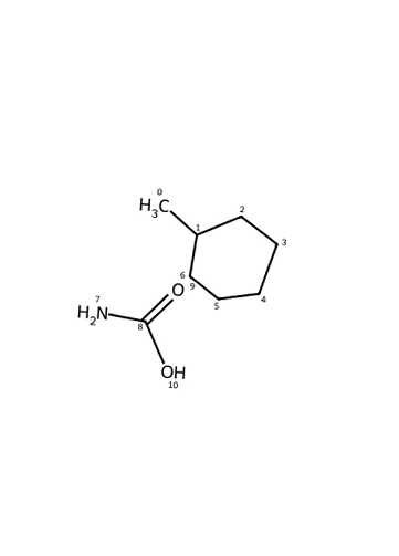 CC1CCCCC1.NC(=O)O